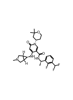 C[C@@H](NC(=O)c1cn([C@H]2CCOC(C)(C)C2)c(=O)cc1N[C@H]1[C@@H]2CN(C)C[C@@H]21)c1cccc(C(F)F)c1F